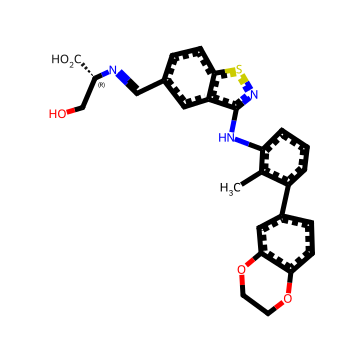 Cc1c(Nc2nsc3ccc(C=N[C@H](CO)C(=O)O)cc23)cccc1-c1ccc2c(c1)OCCO2